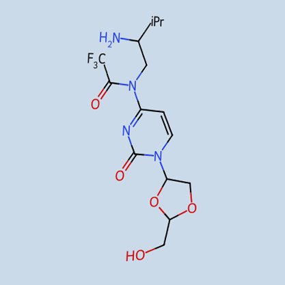 CC(C)C(N)CN(C(=O)C(F)(F)F)c1ccn(C2COC(CO)O2)c(=O)n1